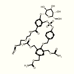 [N-]=[N+]=NCCOCCNC(=O)c1ccc(O[C@H]2O[C@@H](CO)[C@@H](O)[C@@H](O)[C@@H]2O)c(OS(=O)(=O)Oc2ccc(COc3c(COC(N)=O)cc(COC(N)=O)cc3COC(N)=O)cc2)c1